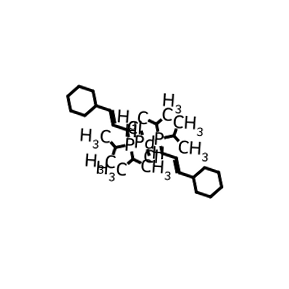 CC(C)[PH](CC=CC1CCCCC1)(C(C)C)[Pd]([Cl])([Cl])[PH](CC=CC1CCCCC1)(C(C)C)C(C)C